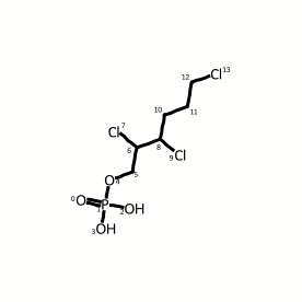 O=P(O)(O)OCC(Cl)C(Cl)CCCCl